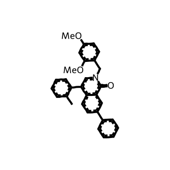 COc1ccc(Cn2cc(-c3ccccc3C)c3ccc(-c4ccccc4)cc3c2=O)c(OC)c1